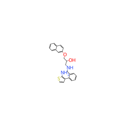 Nc1sccc1-c1ccccc1CNCC(O)COc1ccc2ccccc2c1